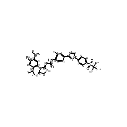 Cc1cc(-c2ncn(-c3ccc(S(=O)(=O)C(F)(F)F)cc3)n2)ccc1NC(=O)/N=C1\SCC(=O)N1c1cc(N(C)C)c(F)cc1C(C)C